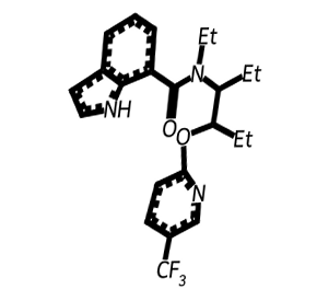 CCC(Oc1ccc(C(F)(F)F)cn1)C(CC)N(CC)C(=O)c1cccc2cc[nH]c12